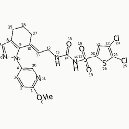 COc1ccc(-n2ncc3c2C(=CCNC(=O)NS(=O)(=O)c2cc(Cl)c(Cl)s2)CCC3)cn1